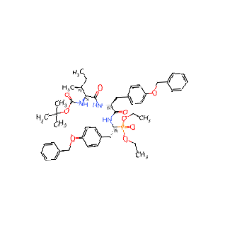 CCOP(=O)(OCC)[C@H](Cc1ccc(OCc2ccccc2)cc1)NC(=O)[C@H](Cc1ccc(OCc2ccccc2)cc1)NC(=O)[C@@H](NC(=O)OC(C)(C)C)[C@@H](C)CC